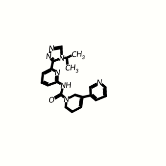 CC(C)n1cnnc1-c1cccc(NC(=O)N2CCC=C(c3cccnc3)C2)n1